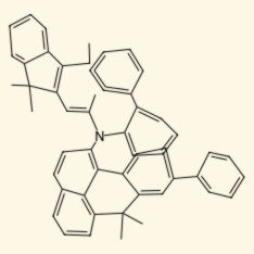 CCC1=C(/C=C(\C)N(c2ccccc2C2=C=C=CC=C2)c2ccc3cccc4c3c2-c2ccc(-c3ccccc3)cc2C4(C)C)C(C)(C)c2ccccc21